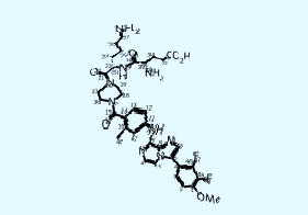 COc1ccc(-c2cnc3c(Nc4ccc(C(=O)N5CCN(C(=O)[C@H](CCCCN)NC(=O)[C@@H](N)CCC(=O)O)CC5)c(C)c4)nccn23)c(F)c1F